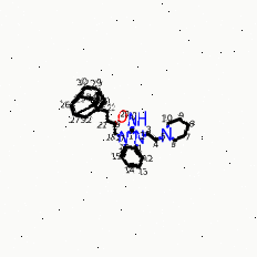 N=c1n(CCN2CCCCC2)c2ccccc2n1CC(=O)CCC12CC3CC(CC(C3)C1)C2